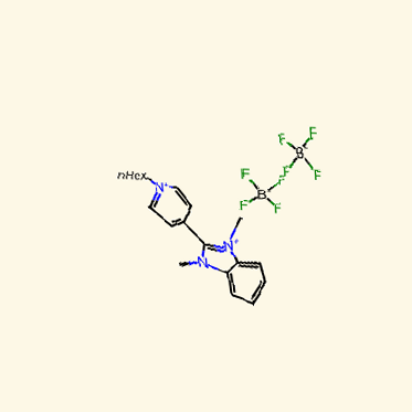 CCCCCC[n+]1ccc(-c2n(C)c3ccccc3[n+]2C)cc1.F[B-](F)(F)F.F[B-](F)(F)F